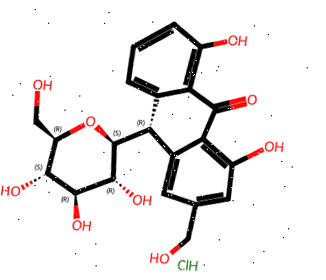 Cl.O=C1c2c(O)cccc2[C@@H]([C@@H]2O[C@H](CO)[C@@H](O)[C@H](O)[C@H]2O)c2cc(CO)cc(O)c21